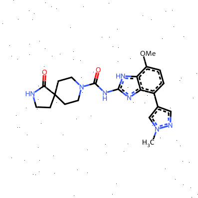 COc1ccc(-c2cnn(C)c2)c2nc(NC(=O)N3CCC4(CCNC4=O)CC3)[nH]c12